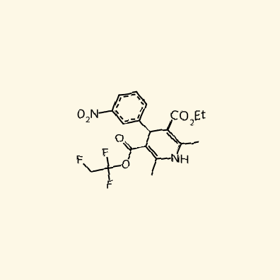 CCOC(=O)C1=C(C)NC(C)=C(C(=O)OC(F)(F)CF)C1c1cccc([N+](=O)[O-])c1